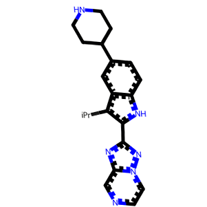 CC(C)c1c(-c2nc3cnccn3n2)[nH]c2ccc(C3CCNCC3)cc12